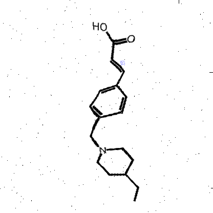 CCC1CCN(Cc2ccc(/C=C/C(=O)O)cc2)CC1